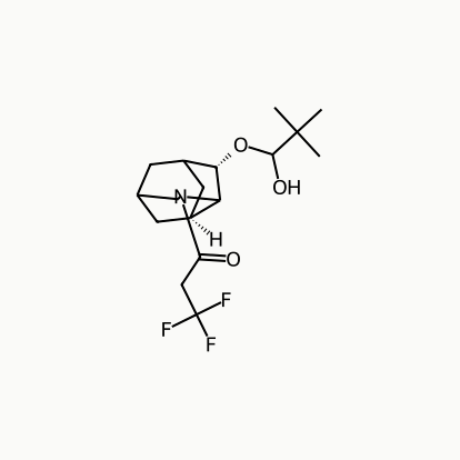 CC(C)(C)C(O)O[C@H]1C2CC3C[C@@H](C2)C1N(C(=O)CC(F)(F)F)C3